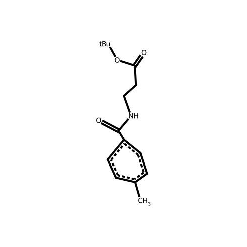 Cc1ccc(C(=O)NCCC(=O)OC(C)(C)C)cc1